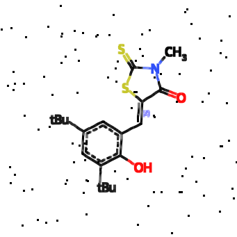 CN1C(=O)/C(=C/c2cc(C(C)(C)C)cc(C(C)(C)C)c2O)SC1=S